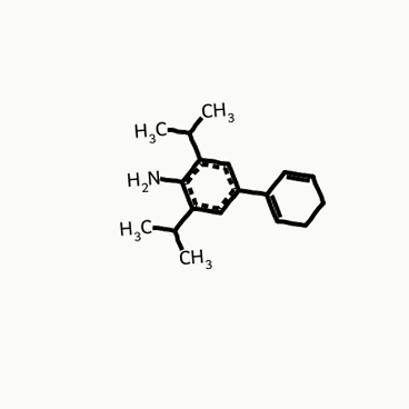 CC(C)c1cc(C2=CCCC=C2)cc(C(C)C)c1N